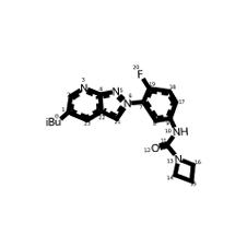 CCC(C)c1cnc2nn(-c3cc(NC(=O)N4CCC4)ccc3F)cc2c1